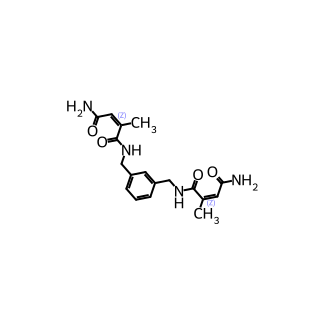 C/C(=C/C(N)=O)C(=O)NCc1cccc(CNC(=O)/C(C)=C\C(N)=O)c1